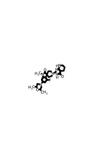 CC1CN(c2cc(F)c3c(c2)N(C)C(=O)C32CCN(c3nc4c(c(=O)[nH]3)CCCN4)CC2)CC(C)O1